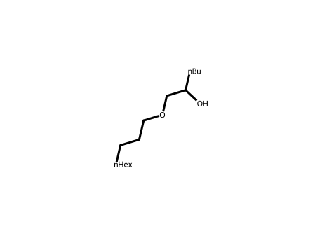 CCCCCCCCCOCC(O)CCCC